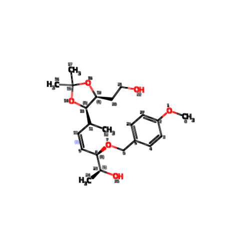 COc1ccc(CO[C@H](/C=C\C(C)[C@H]2OC(C)(C)O[C@H]2CCO)[C@H](C)O)cc1